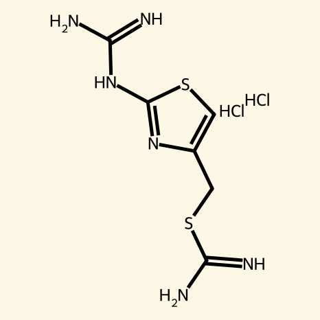 Cl.Cl.N=C(N)Nc1nc(CSC(=N)N)cs1